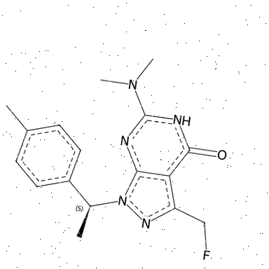 Cc1ccc([C@H](C)n2nc(CF)c3c(=O)[nH]c(N(C)C)nc32)cc1